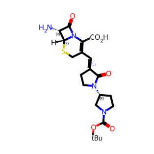 CC(C)(C)OC(=O)N1CC[C@@H](N2CC/C(=C\C3=C(C(=O)O)N4C(=O)[C@@H](N)[C@H]4SC3)C2=O)C1